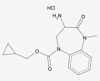 CN1C(=O)C(N)CN(C(=O)OCC2CC2)c2ccccc21.Cl